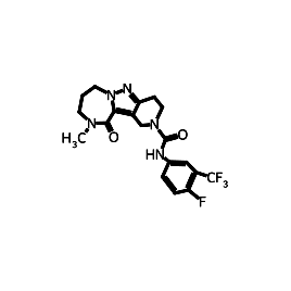 CN1CCCn2nc3c(c2C1=O)CN(C(=O)Nc1ccc(F)c(C(F)(F)F)c1)CC3